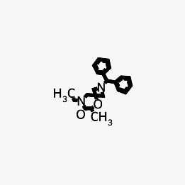 CCN1CC2(CN(C(c3ccccc3)c3ccccc3)C2)OC(C)C1=O